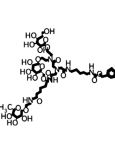 C[C@@H]1O[C@@H](OCCNC(=O)CCCCCNC(=O)CN(CC(=O)NCCCCCNC(=O)OCc2ccccc2)CC(=O)N(CCO[C@H]2O[C@H](CO)[C@@H](O)[C@H](O)[C@@H]2O)CCO[C@H]2O[C@H](CO)[C@@H](O)[C@H](O)[C@@H]2O)[C@@H](O)[C@H](O)[C@@H]1O